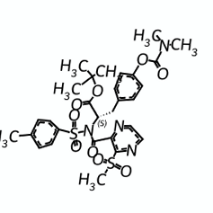 Cc1ccc(S(=O)(=O)N(C(=O)c2nccnc2S(C)(=O)=O)[C@@H](Cc2ccc(OC(=O)N(C)C)cc2)C(=O)OC(C)(C)C)cc1